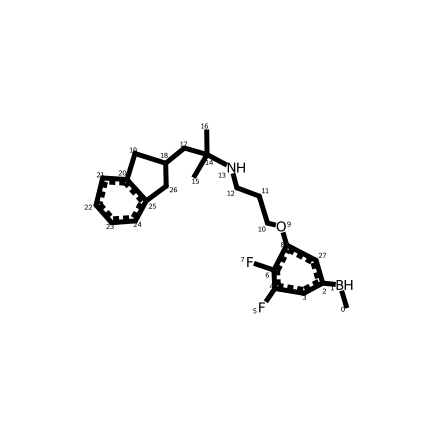 CBc1cc(F)c(F)c(OCCCNC(C)(C)CC2Cc3ccccc3C2)c1